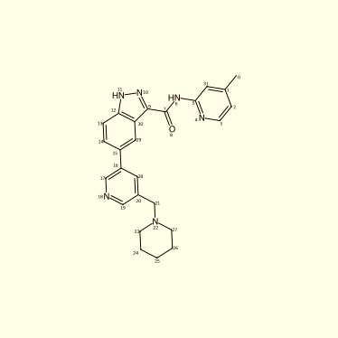 Cc1ccnc(NC(=O)c2n[nH]c3ccc(-c4cncc(CN5CCCCC5)c4)cc23)c1